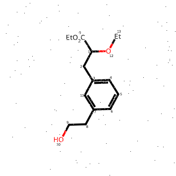 CCOC(=O)C(Cc1cccc(CCO)c1)OCC